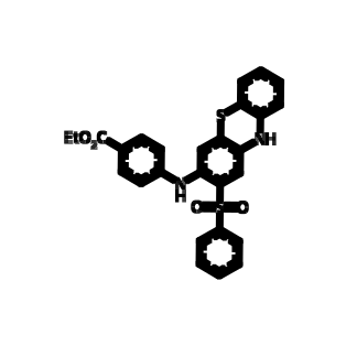 CCOC(=O)c1ccc(Nc2cc3c(cc2S(=O)(=O)c2ccccc2)Nc2ccccc2S3)cc1